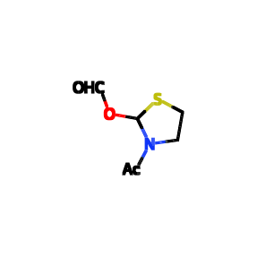 CC(=O)N1CCSC1OC=O